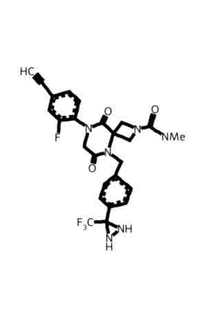 C#Cc1ccc(N2CC(=O)N(Cc3ccc(C4(C(F)(F)F)NN4)cc3)C3(CN(C(=O)NC)C3)C2=O)c(F)c1